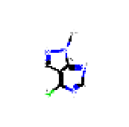 CC(C)n1ncc2c(Cl)n[c]nc21